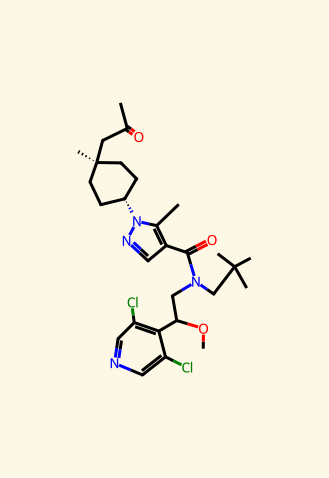 COC(CN(CC(C)(C)C)C(=O)c1cnn([C@H]2CC[C@](C)(CC(C)=O)CC2)c1C)c1c(Cl)cncc1Cl